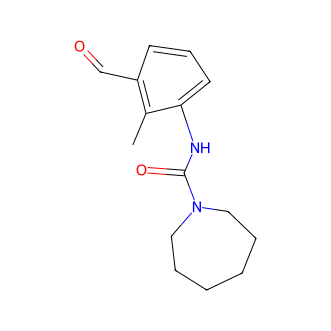 Cc1c(C=O)cccc1NC(=O)N1CCCCCC1